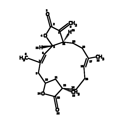 C=C1C(=O)O[C@H]2/C=C(\C)CC3C[C@@](C)(CC/C=C(\C)CC[C@H]12)C(=O)O3